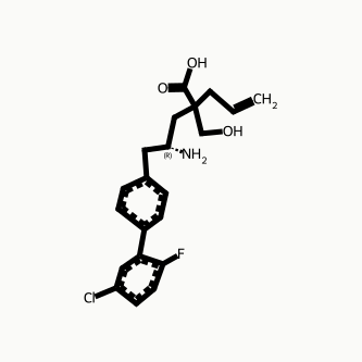 C=CCC(CO)(C[C@H](N)Cc1ccc(-c2cc(Cl)ccc2F)cc1)C(=O)O